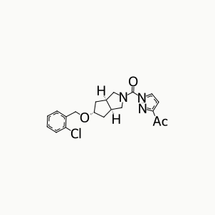 CC(=O)c1ccn(C(=O)N2C[C@H]3C[C@H](OCc4ccccc4Cl)C[C@H]3C2)n1